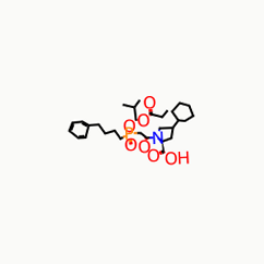 CCC(=O)O[C@@H](OP(=O)(CCCCc1ccccc1)CC(=O)N1CC(C2CCCCC2)C[C@H]1C(=O)O)C(C)C